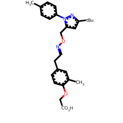 Cc1ccc(-n2nc(C(C)(C)C)cc2CON=CCc2ccc(OCC(=O)O)c(C)c2)cc1